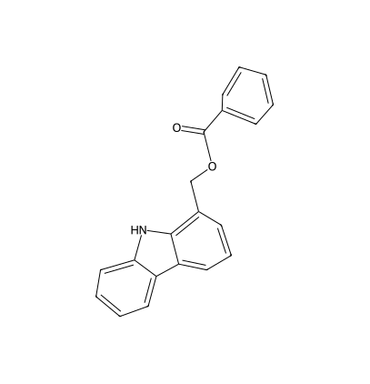 O=C(OCc1cccc2c1[nH]c1ccccc12)c1ccccc1